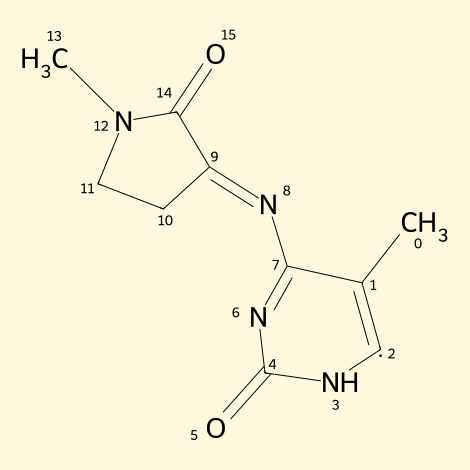 Cc1[c][nH]c(=O)nc1N=C1CCN(C)C1=O